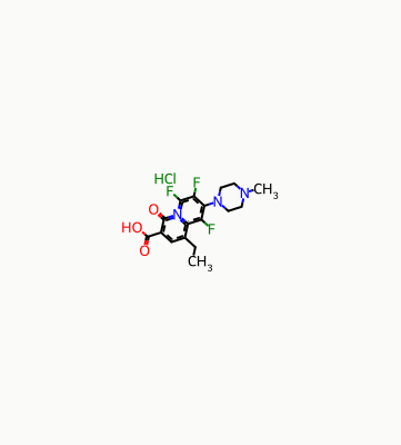 CCc1cc(C(=O)O)c(=O)n2c(F)c(F)c(N3CCN(C)CC3)c(F)c12.Cl